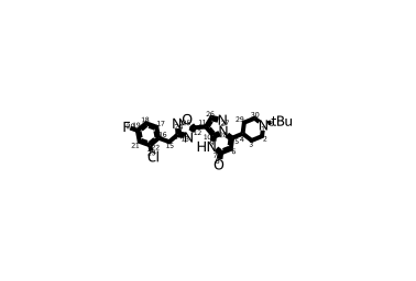 CC(C)(C)N1CCC(c2cc(=O)[nH]c3c(-c4nc(Cc5ccc(F)cc5Cl)no4)cnn23)CC1